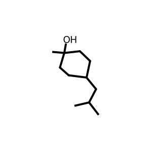 CC(C)CC1CCC(C)(O)CC1